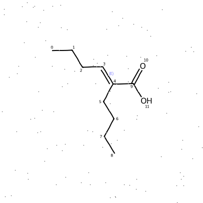 CCC/C=C(\CCCC)C(=O)O